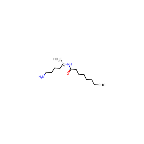 NCCCC[C@@H](NC(=O)CCCCCCC=O)C(=O)O